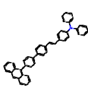 C(=C\c1ccc(N(c2ccccc2)c2ccccc2)cc1)/c1ccc(-c2ccc(-c3c4ccccc4cc4ccccc34)cc2)cc1